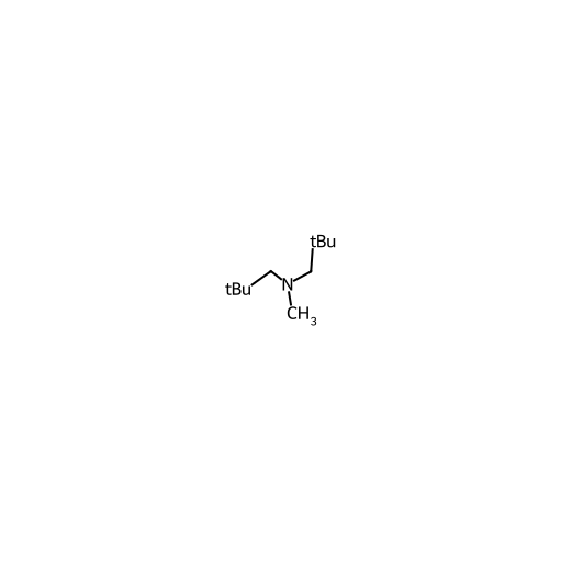 CN(CC(C)(C)C)CC(C)(C)C